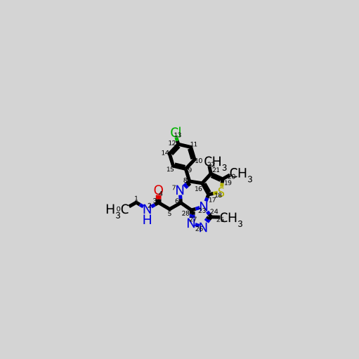 CCNC(=O)CC1N=C(c2ccc(Cl)cc2)c2c(sc(C)c2C)-n2c(C)nnc21